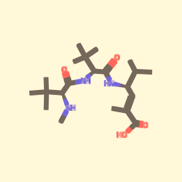 CN[C@H](C(=O)N[C@H](C(=O)N[C@H](/C=C(\C)C(=O)O)C(C)C)C(C)(C)C)C(C)(C)C